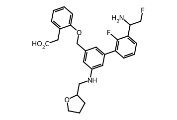 NC(CF)c1cccc(-c2cc(COc3ccccc3CC(=O)O)cc(NCC3CCCO3)c2)c1F